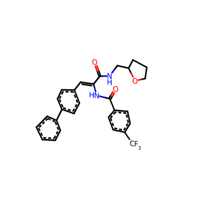 O=C(NCC1CCCO1)C(=Cc1ccc(-c2ccccc2)cc1)NC(=O)c1ccc(C(F)(F)F)cc1